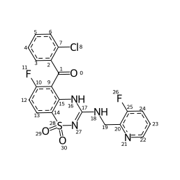 O=C(c1ccccc1Cl)c1c(F)ccc2c1NC(NCc1ncccc1F)=NS2(=O)=O